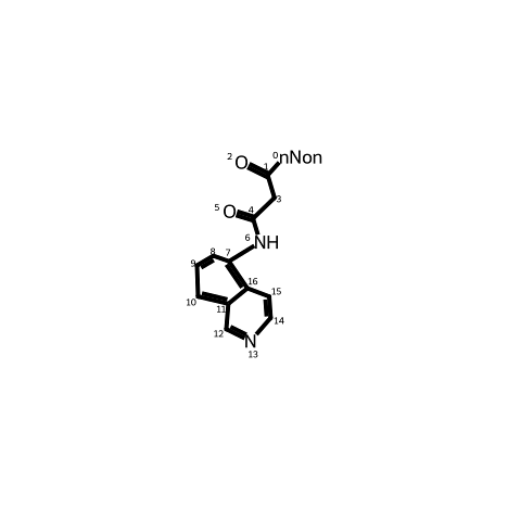 CCCCCCCCCC(=O)CC(=O)Nc1cccc2cnccc12